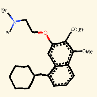 CCOC(=O)c1c(OCCN(C(C)C)C(C)C)cc2c(C3CCCCC3)cccc2c1OC